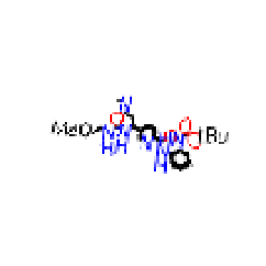 COCCNC(=O)NC(CCN(C)C)c1ccc(C(=O)Nc2ccccc2NC(=O)OC(C)(C)C)nc1